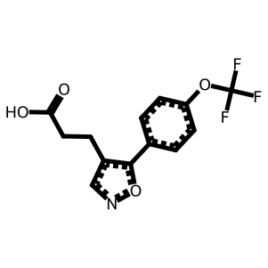 O=C(O)CCc1cnoc1-c1ccc(OC(F)(F)F)cc1